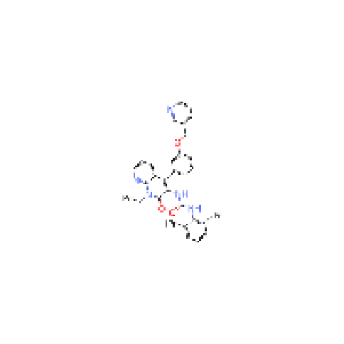 CC(C)Cn1c(=O)c(NC(=O)Nc2c(C(C)C)cccc2C(C)C)c(-c2cccc(OCc3cccnc3)c2)c2cccnc21